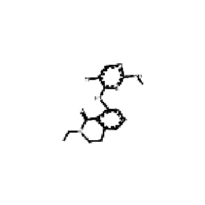 CCN1CCc2cccc(Nc3nc(NC)ncc3Cl)c2C1=O